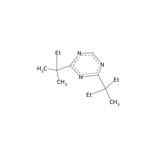 CCC(C)(C)c1ncnc(C(C)(CC)CC)n1